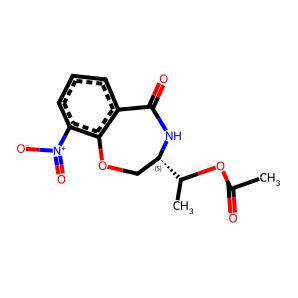 CC(=O)OC(C)[C@@H]1COc2c(cccc2[N+](=O)[O-])C(=O)N1